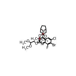 COC(COc1nc(N2CC3CCC(C2)N3C(=O)OC(C)(C)C)c2cc(Cl)c(Br)c(F)c2n1)OC